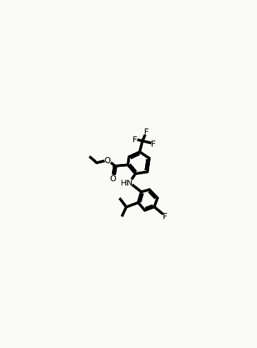 CCOC(=O)c1cc(C(F)(F)F)ccc1Nc1ccc(F)cc1C(C)C